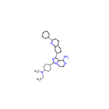 CCN(C)C1CCC(c2nc(-c3ccc4ccc(-c5ccccc5)nc4c3)c3c(N)nccn23)CC1